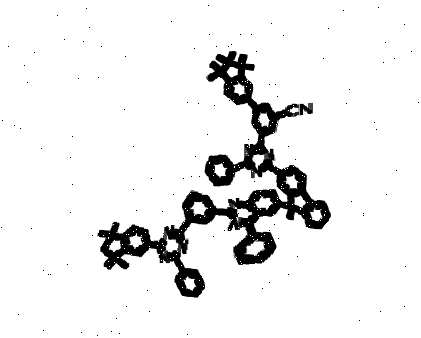 CC1(C)CC(C)(C)c2cc(-c3nc(-c4ccccc4)nc(-c4cccc(-c5nc(-c6ccccc6)c6cc(C7(C)c8ccccc8-c8ccc(-c9nc(-c%10ccccc%10)nc(-c%10cc(C#N)cc(-c%11ccc%12c(c%11)C(C)(C)C(C)(C)C%12(C)C)c%10)n9)cc87)ccc6n5)c4)n3)ccc21